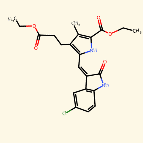 CCOC(=O)CCc1c(C=C2C(=O)Nc3ccc(Cl)cc32)[nH]c(C(=O)OCC)c1C